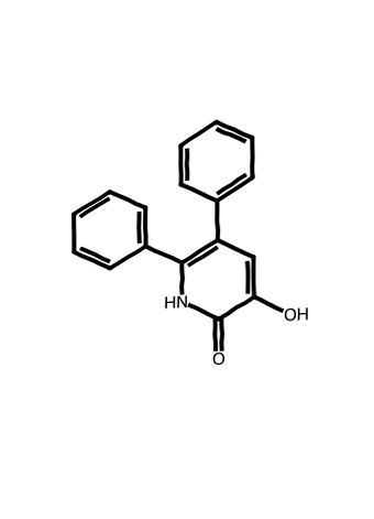 O=c1[nH]c(-c2ccccc2)c(-c2ccccc2)cc1O